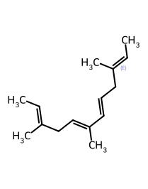 CC=C(C)CC=C(C)C=CC/C(C)=C/C